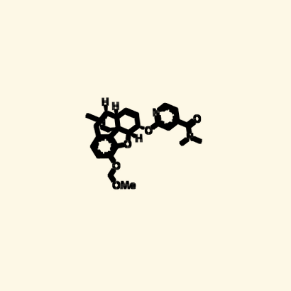 COCOc1ccc2c3c1O[C@H]1[C@@H](Oc4cc(C(=O)N(C)C)ccn4)C=C[C@H]4[C@@H](C2)N(C)CC[C@@]341